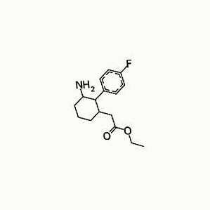 CCOC(=O)CC1CCCC(N)C1c1ccc(F)cc1